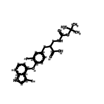 CC(C)(C)OC(=O)NCC(Cc1ccc(Oc2ccnc3[nH]cc(I)c23)c(F)c1)C(=O)O